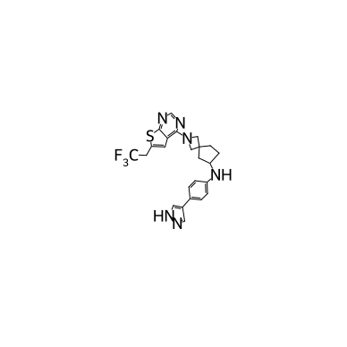 FC(F)(F)Cc1cc2c(N3CC4(CCC(Nc5ccc(-c6cn[nH]c6)cc5)C4)C3)ncnc2s1